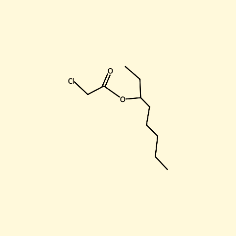 CCCCCC(CC)OC(=O)CCl